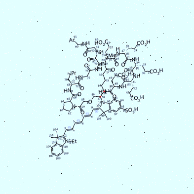 CC[N+]1=C(/C=C/C=C/C=C/C=C2/N(CCCCCC(=O)N[C@H](CCC(=O)O)C(=O)N[C@H](CCC(=O)O)C(=O)N[C@H](CCC(=O)O)C(=O)N[C@H](CCC(=O)O)C(=O)N[C@H](CCC(=O)O)C(=O)NCCOCC(=O)N3CCCC3C(=O)N[C@@H](CC(C)C)C(=O)NCC(=O)N[C@@H](CSC)C(=O)N[C@@H](C)C(=O)NCC(C)=O)c3ccc(S(=O)(=O)O)cc3C2(C)C)C(C)(C)c2ccccc21